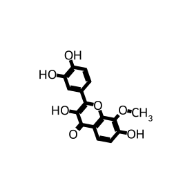 COc1c(O)ccc2c(=O)c(O)c(-c3ccc(O)c(O)c3)oc12